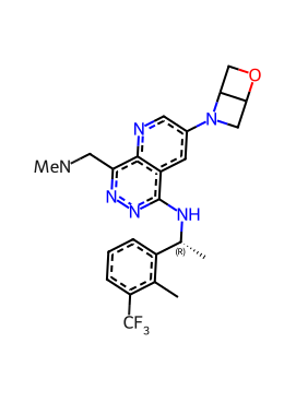 CNCc1nnc(N[C@H](C)c2cccc(C(F)(F)F)c2C)c2cc(N3CC4OCC43)cnc12